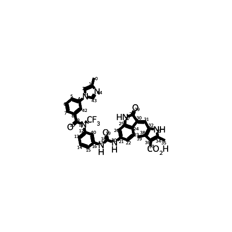 Cc1cn(-c2cccc(C(=O)N(c3cccc(NC(=O)Nc4ccc5c(c4)NC(=O)C5=Cc4[nH]c(C)c(C(=O)O)c4C)c3)C(F)(F)F)c2)cn1